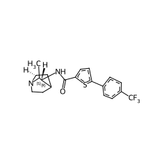 C[C@H]1[C@H](NC(=O)c2ccc(-c3ccc(C(F)(F)F)cc3)s2)C2CCN1CC2